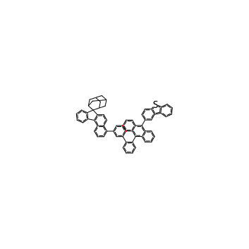 c1cc(-c2ccccc2-c2c3ccccc3c(-c3ccc4sc5ccccc5c4c3)c3ccccc23)cc(-c2cccc3c4c(ccc23)C2(c3ccccc3-4)C3CC4CC(C3)CC2C4)c1